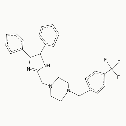 FC(F)(F)c1ccc(CN2CCN(CC3=NC(c4ccccc4)C(c4ccccc4)N3)CC2)cc1